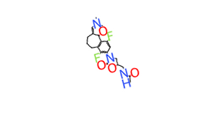 CC(=O)NCC1CN(c2cc(F)c3c(c2F)CCCC(=CN(C)C)C3=O)C(=O)O1